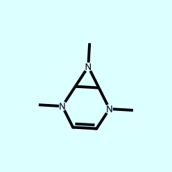 CN1C=CN(C)C2C1N2C